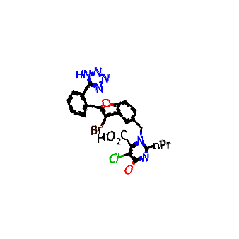 CCCc1nc(=O)c(Cl)c(C(=O)O)n1Cc1ccc2oc(-c3ccccc3-c3nnn[nH]3)c(Br)c2c1